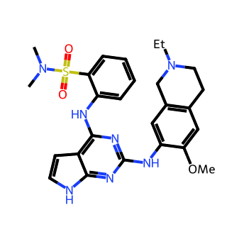 CCN1CCc2cc(OC)c(Nc3nc(Nc4ccccc4S(=O)(=O)N(C)C)c4cc[nH]c4n3)cc2C1